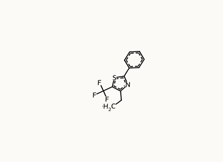 [CH2]Cc1nc(-c2ccccc2)sc1C(F)(F)F